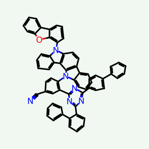 N#Cc1ccc(-n2c3ccccc3c3ccc4c(c5ccccc5n4-c4cccc5c4oc4ccccc45)c32)c(-c2nc(-c3ccc(-c4ccccc4)cc3)nc(-c3ccccc3-c3ccccc3)n2)c1